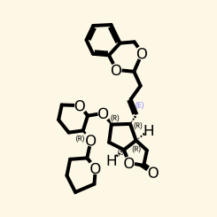 O=C1C[C@@H]2[C@@H](/C=C/CC3OCc4ccccc4O3)[C@H](OC3OCCC[C@H]3OC3CCCCO3)C[C@@H]2O1